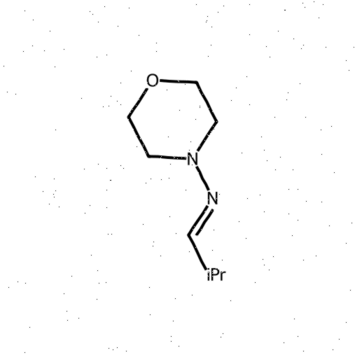 CC(C)/C=N/N1CCOCC1